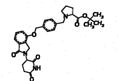 CC(C)(C)OC(=O)C1CCCN1Cc1ccc(COc2cccc3c2CN(C2CCC(=O)NC2=O)C3=O)cc1